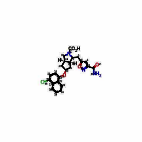 NC(=O)c1cc(CC2[C@H]3C[C@@H](Oc4ccc(Cl)c5ccccc45)C[C@H]3CN2C(=O)O)on1